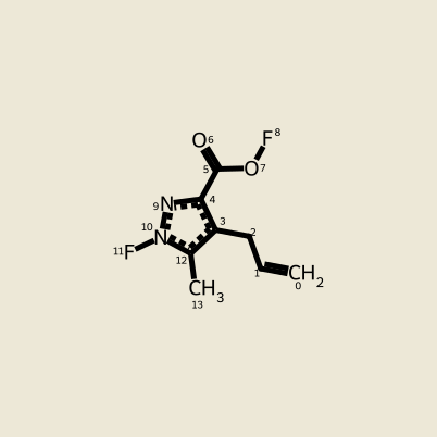 C=CCc1c(C(=O)OF)nn(F)c1C